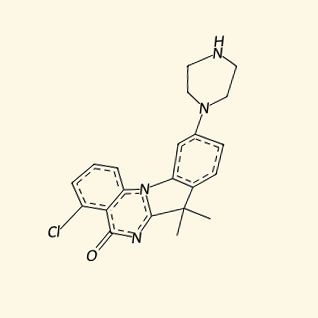 CC1(C)c2ccc(N3CCNCC3)cc2-n2c1nc(=O)c1c(Cl)cccc12